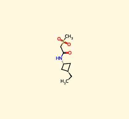 CC[C@H]1C[C@H](NC(=O)CS(C)(=O)=O)C1